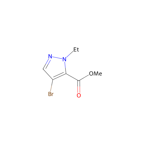 CCn1ncc(Br)c1C(=O)OC